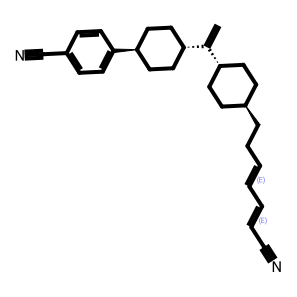 C=C([C@H]1CC[C@H](CC/C=C/C=C/C#N)CC1)[C@H]1CC[C@H](c2ccc(C#N)cc2)CC1